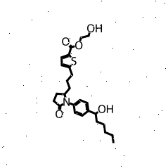 CCCCCC(O)c1ccc(N2C(=O)CCC2CCCc2ccc(C(=O)OCCO)s2)cc1